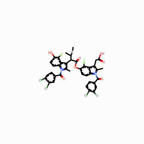 CCC(C)C(C(=O)Oc1ccc2c(c1F)c(CC(=O)O)c(C)n2C(=O)c1ccc(Cl)c(Cl)c1)c1c(C)n(C(=O)c2ccc(Cl)c(Cl)c2)c2ccc(O)c(F)c12